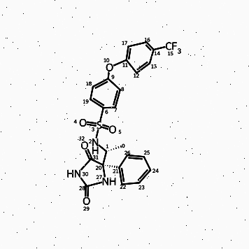 C[C@@H](NS(=O)(=O)c1ccc(Oc2ccc(C(F)(F)F)cc2)cc1)[C@@]1(c2ccccc2)NC(=O)NC1=O